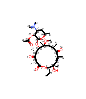 CC[C@H]1OC(=O)[C@H](C)C(=O)[C@H](C)[C@@H](O[C@@H]2O[C@H](C)C[C@H](N(C)C)[C@H]2OC(C)=O)[C@](C)(OC)C[C@@H](C)C(=O)/C(C)=C\[C@]1(C)O